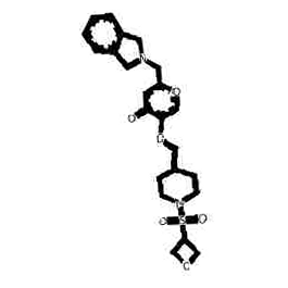 O=c1cc(CN2Cc3ccccc3C2)occ1OCC1CCN(S(=O)(=O)C2COC2)CC1